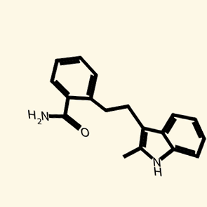 Cc1[nH]c2ccccc2c1CCc1ccccc1C(N)=O